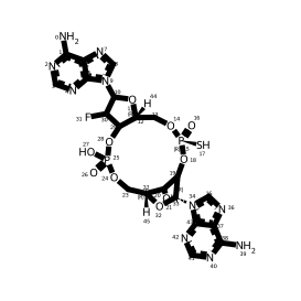 Nc1ncnc2c1ncn2C1O[C@@H]2CO[P@@](=O)(S)OC3C(O)[C@@H](COP(=O)(O)OC2C1F)O[C@H]3n1cnc2c(N)ncnc21